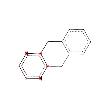 c1ccc2c(c1)C1c3ccccc3C2c2nccnc21